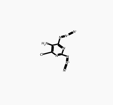 [N-]=[N+]=Nc1nc(Cl)c(N)c(N=[N+]=[N-])n1